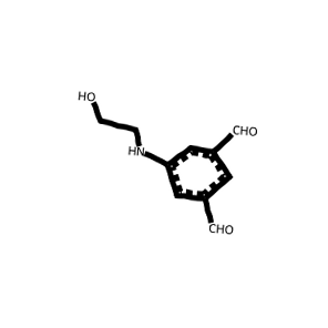 O=Cc1cc(C=O)cc(NCCO)c1